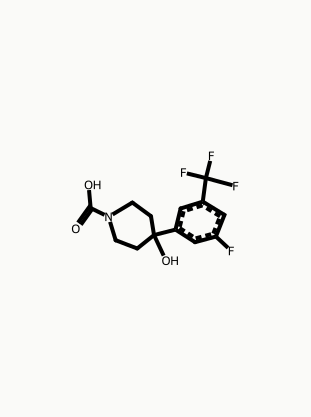 O=C(O)N1CCC(O)(c2cc(F)cc(C(F)(F)F)c2)CC1